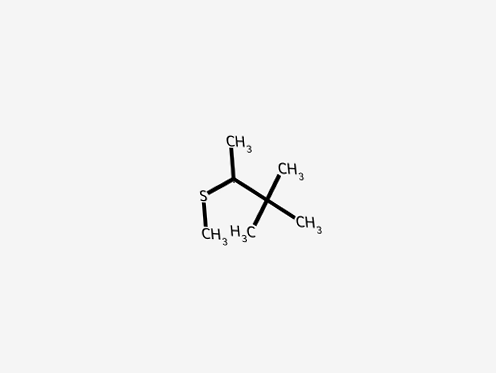 CS[C](C)C(C)(C)C